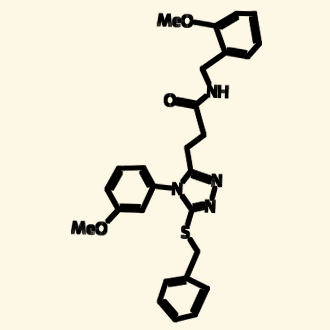 COc1cccc(-n2c(CCC(=O)NCc3ccccc3OC)nnc2SCc2ccccc2)c1